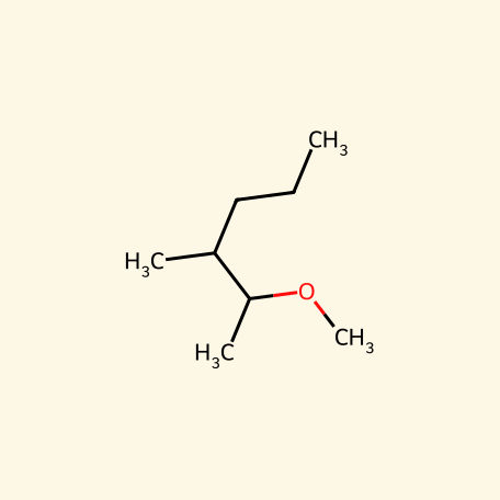 CCCC(C)C(C)OC